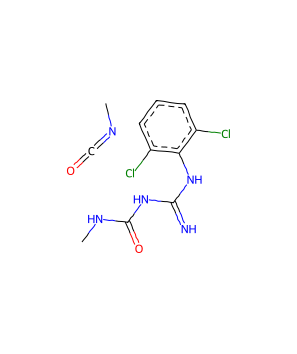 CN=C=O.CNC(=O)NC(=N)Nc1c(Cl)cccc1Cl